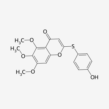 COc1cc2oc(Sc3ccc(O)cc3)cc(=O)c2c(OC)c1OC